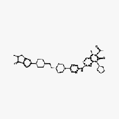 CC(=O)c1c(C)c2cnc(Nc3ccc(N4CCC(CCN5CCN(c6ccc7c(c6)CN(C)C7=O)CC5)CC4)cn3)nc2n(C2CCCC2)c1=O